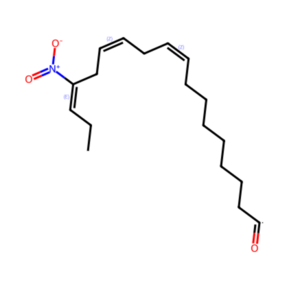 CC/C=C(\C/C=C\C/C=C\CCCCCCC[C]=O)[N+](=O)[O-]